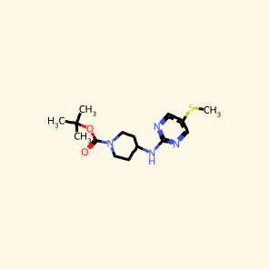 CSc1cnc(NC2CCN(C(=O)OC(C)(C)C)CC2)nc1